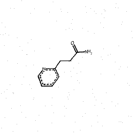 NC(=O)[CH]Cc1ccccn1